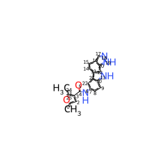 Cc1cc(C(=O)Nc2ccc3[nH]c4c(ccc5cn[nH]c54)c3c2)c(C)o1